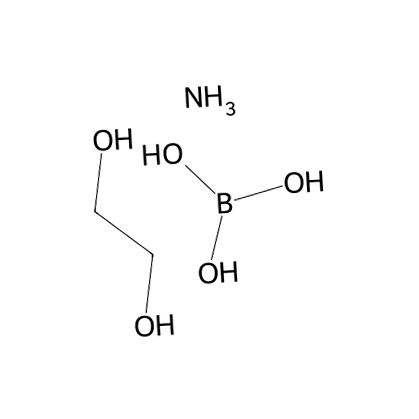 N.OB(O)O.OCCO